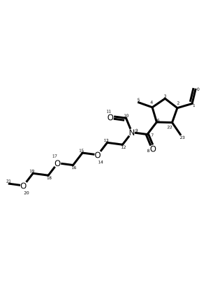 C=CC1CC(C)C(C(=O)N(C=O)CCOCCOCCOC)C1C